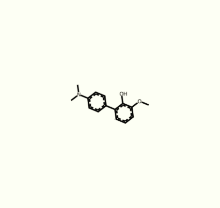 COc1cc[c]c(-c2ccc(N(C)C)cc2)c1O